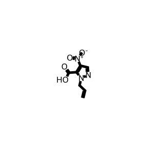 C=CCn1ncc([N+](=O)[O-])c1C(=O)O